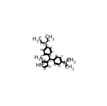 CCN(CC)c1ccc(C(c2ccc(N(C)C)cc2)c2cc[nH]n2)c(C)c1